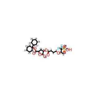 CC(OCCCC(=O)OC1CC(C(=O)OC2(C3CCCCC3)CCCCC2)OC1=O)C(F)(F)S(=O)(=O)O